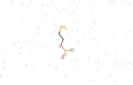 O=[PH](Cl)OCCP